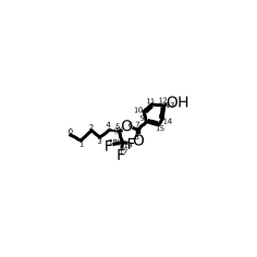 CCCCC[C@@H](OC(=O)c1ccc(O)cc1)C(F)(F)F